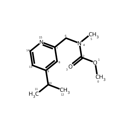 COC(=O)N(C)Cc1cc(C(C)C)ccn1